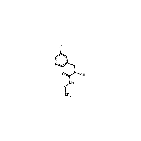 CSNC(=O)N(C)Cc1cncc(Br)c1